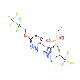 CCS(=O)(=O)c1cc(C(F)(F)F)cnc1-c1ccc(OCC(F)(F)C(F)(F)F)nn1